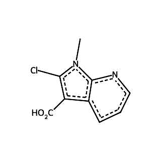 Cn1c(Cl)c(C(=O)O)c2cccnc21